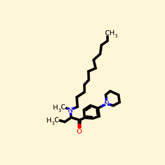 CCCCCCCCCCCCN(C)C(CC)C(=O)c1ccc(N2CCCCC2)cc1